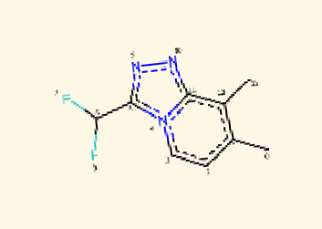 Cc1ccn2c(C(F)F)nnc2c1C